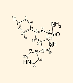 Cc1cc(F)ccc1-c1cc(C(N)=O)c2[nH]cc(C3CCNCC3)c2c1